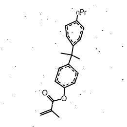 C=C(C)C(=O)Oc1ccc(C(C)(C)c2ccc(CCC)cc2)cc1